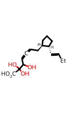 CCC=C[C@H]1CCC[C@@H]1CC=C=CC(O)C(O)(O)C(=O)O